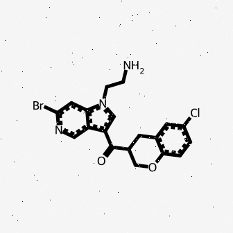 NCCn1cc(C(=O)C2COc3ccc(Cl)cc3C2)c2cnc(Br)cc21